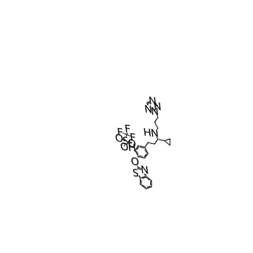 O=S(=O)(O)C(F)(F)F.c1ccc2sc(Oc3ccc(CCC(NCCCn4ncnn4)C4CC4)cc3)nc2c1